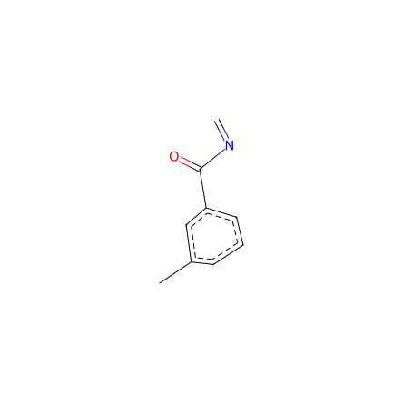 C=NC(=O)c1cccc(C)c1